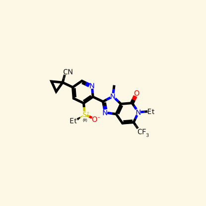 CCn1c(C(F)(F)F)cc2nc(-c3ncc(C4(C#N)CC4)cc3[S@@+]([O-])CC)n(C)c2c1=O